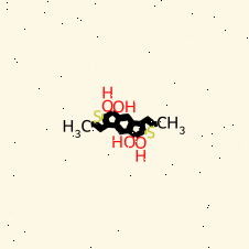 Cc1cc2c(s1)C(O)(O)c1cc3c(cc1-2)C(O)(O)c1sc(C)cc1-3